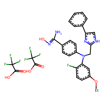 CCOc1ccc(F)c(N(Cc2nc(-c3ccccc3)c[nH]2)c2ccc(/C(N)=N/O)cc2)c1.O=C(O)C(F)(F)F.O=C(O)C(F)(F)F